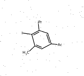 CC(=O)c1cc(C)c(I)c(C(C)C)c1